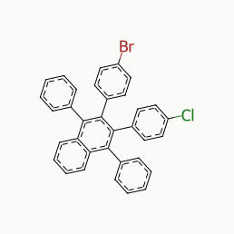 Clc1ccc(-c2c(-c3ccc(Br)cc3)c(-c3ccccc3)c3ccccc3c2-c2ccccc2)cc1